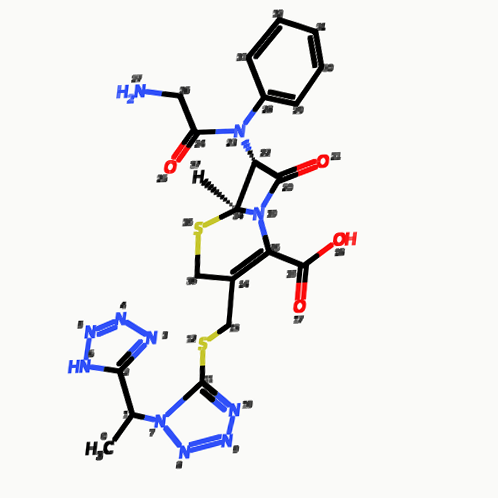 CC(c1nnn[nH]1)n1nnnc1SCC1=C(C(=O)O)N2C(=O)[C@@H](N(C(=O)CN)c3ccccc3)[C@@H]2SC1